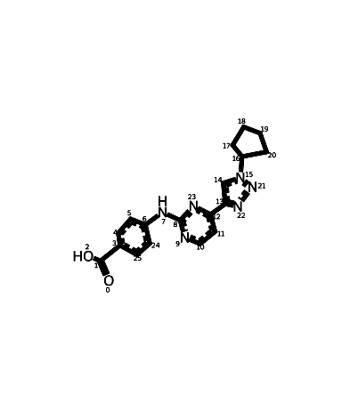 O=C(O)c1ccc(Nc2nccc(-c3cn(C4CCCC4)nn3)n2)cc1